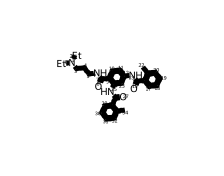 CCN(CC)CCCNC(=O)c1ccc(NC(=O)c2ccccc2C)cc1NC(=O)c1ccccc1C